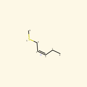 CC/C=C\CSC